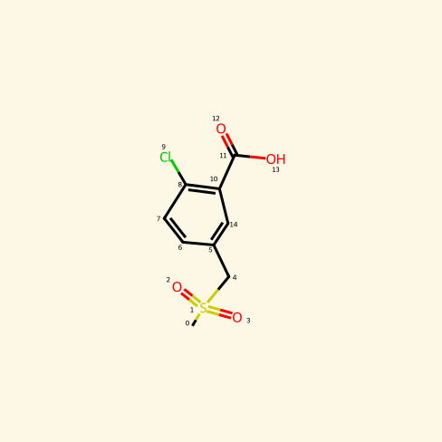 CS(=O)(=O)Cc1ccc(Cl)c(C(=O)O)c1